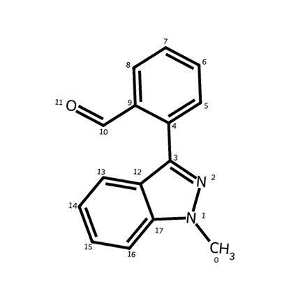 Cn1nc(-c2ccccc2C=O)c2ccccc21